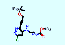 CC(C)(C)OC(=O)NCCNc1cc(Cl)nnc1C#CCO[Si](C)(C)C(C)(C)C